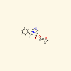 C[C@H](c1ccccc1)n1cncc1C(=O)OCC1CCO1